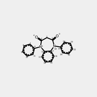 O=C1CC(=O)N(c2ccccc2)c2ccccc2N1c1ccccc1